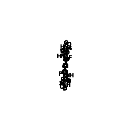 COC(=O)N[C@H](C(=O)N1CCCC1c1nc2c(F)cc(-c3ccc(-c4cc(F)c5nc([C@@H]6CCCN6C(=O)[C@@H](NC(=O)OC)C(C)C)[nH]c5c4)cc3)cc2[nH]1)C(C)C